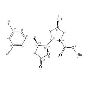 CC(C)(C)OC(=O)N1C[C@H](O)C[C@H]1[C@H]1OC(=O)C[C@H]1Cc1cc(F)cc(F)c1